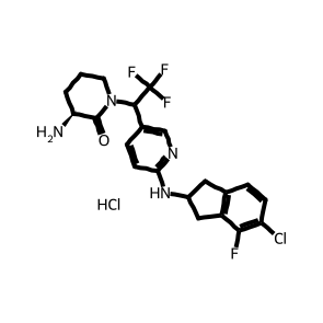 Cl.N[C@H]1CCCN(C(c2ccc(NC3Cc4ccc(Cl)c(F)c4C3)nc2)C(F)(F)F)C1=O